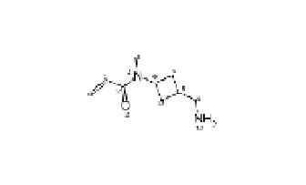 C=CC(=O)N(C)C1CC(CN)C1